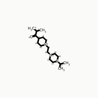 CC(C)C(=O)C1CCN(CCN2CCN(C(C)C)CC2)CC1